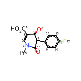 CC(C)N1C=C(C(=O)O)C(=O)C(c2ccc(F)cc2)C1=O